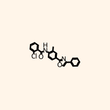 Cc1cc(-c2nc(-c3ccccc3)co2)ccc1NC(=O)c1ccccc1Cl